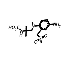 CN(CC(C)(C)NC(=O)O)c1ccc(N)cc1CS(C)(=O)=O